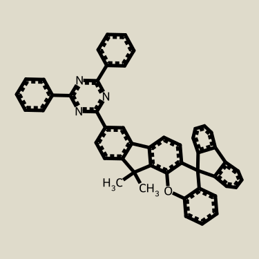 CC1(C)c2ccc(-c3nc(-c4ccccc4)nc(-c4ccccc4)n3)cc2-c2ccc3c(c21)Oc1ccccc1C31c2ccccc2-c2ccccc21